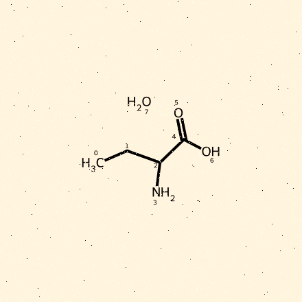 CCC(N)C(=O)O.O